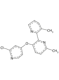 Cc1ccc(Oc2ccnc(Cl)c2)c(-c2ncccc2C)n1